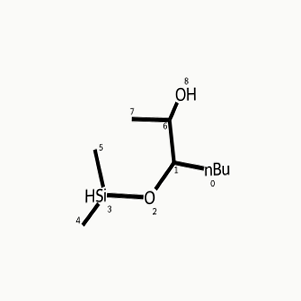 CCCCC(O[SiH](C)C)C(C)O